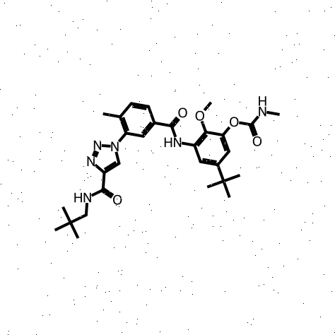 CNC(=O)Oc1cc(C(C)(C)C)cc(NC(=O)c2ccc(C)c(-n3cc(C(=O)NCC(C)(C)C)nn3)c2)c1OC